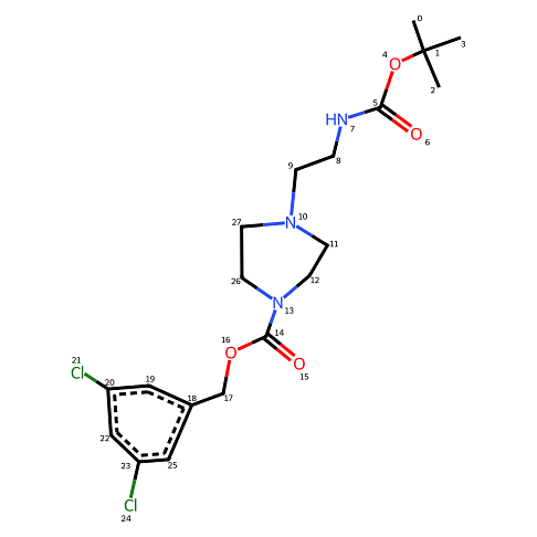 CC(C)(C)OC(=O)NCCN1CCN(C(=O)OCc2cc(Cl)cc(Cl)c2)CC1